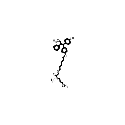 CCCCN(C)C(=O)CSCCCCCCOc1ccc(C(=C(CC)c2ccccc2)c2ccc(O)cc2)cc1